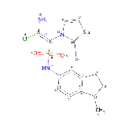 CC1CCc2cc(NS(=O)(=O)/C(=C(/N)Cl)N3C=CSC3I)ccc21